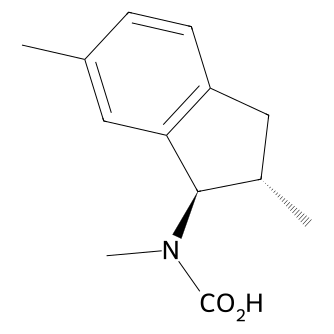 Cc1ccc2c(c1)[C@H](N(C)C(=O)O)[C@@H](C)C2